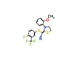 COc1ccccc1N1CCSC1=C(C#N)Sc1ccc(F)c(C(F)(F)F)c1